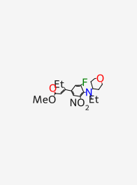 CCC(=CC(=O)OC)c1cc(F)c(N(CC)C2CCOCC2)c([N+](=O)[O-])c1